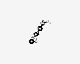 O=S(=O)(c1ccccc1Cl)N1CC2CC1CN2c1ccc(-c2noc(C(F)(F)F)n2)cn1